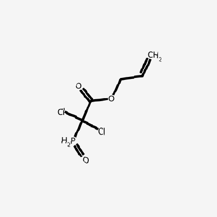 C=CCOC(=O)C(Cl)(Cl)[PH2]=O